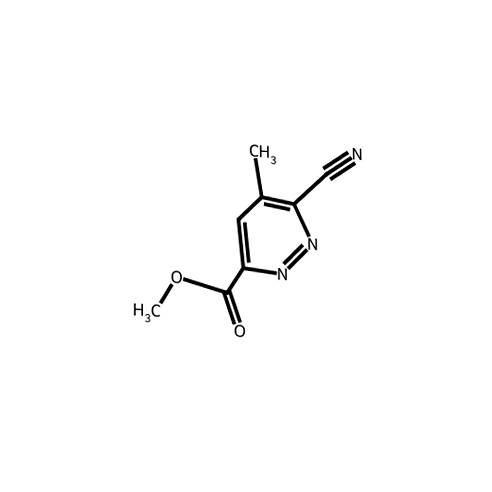 COC(=O)c1cc(C)c(C#N)nn1